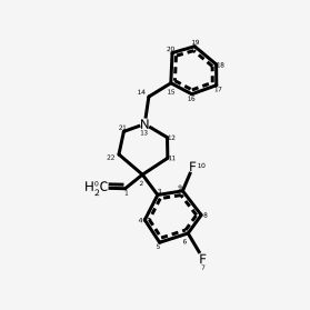 C=CC1(c2ccc(F)cc2F)CCN(Cc2ccccc2)CC1